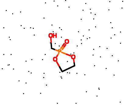 O=P1(CO)OCCO1